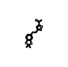 CC(=O)c1cc(CCc2ccc3c(c2)OC(C)(C)O3)no1